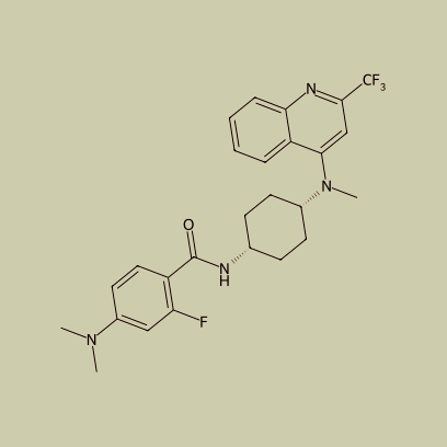 CN(C)c1ccc(C(=O)N[C@H]2CC[C@@H](N(C)c3cc(C(F)(F)F)nc4ccccc34)CC2)c(F)c1